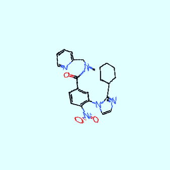 CN(Cc1ccccn1)C(=O)c1ccc([N+](=O)[O-])c(-n2ccnc2C2CCCCC2)c1